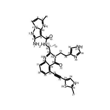 Cc1ccn2nc(N)c(C(=O)N[C@H](C)c3nc4cccc(C#Cc5cnc(C)s5)c4c(=O)n3CCc3c[nH]cn3)c2n1